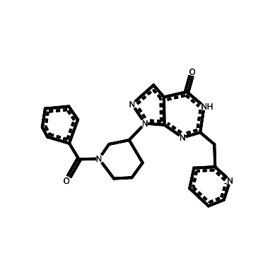 O=C(c1ccccc1)N1CCCC(n2ncc3c(=O)[nH]c(Cc4ccccn4)nc32)C1